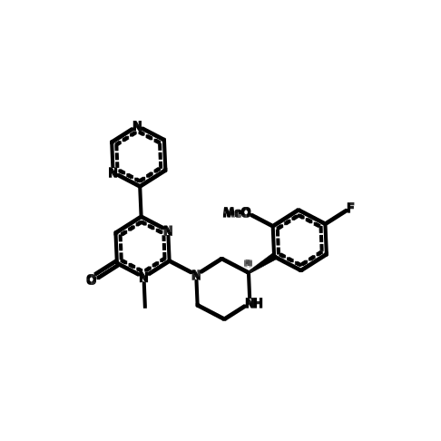 COc1cc(F)ccc1[C@@H]1CN(c2nc(-c3ccncn3)cc(=O)n2C)CCN1